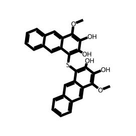 COc1c(O)c(O)c(Sc2c(O)c(O)c(OC)c3cc4ccccc4cc23)c2cc3ccccc3cc12